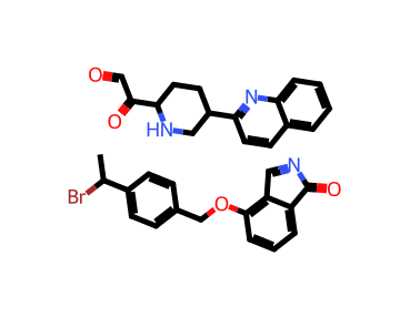 CC(Br)c1ccc(COc2cccc3c2C=NC3=O)cc1.O=CC(=O)C1CCC(c2ccc3ccccc3n2)CN1